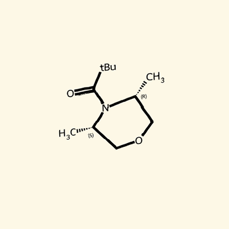 C[C@@H]1COC[C@H](C)N1C(=O)C(C)(C)C